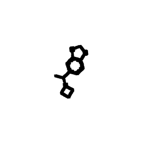 CC(c1ccc2c(c1)OCO2)N1CCC1